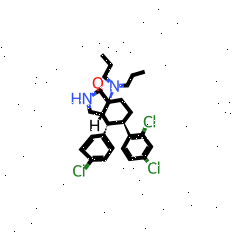 CCCN(CCC)[C@@]12CC[C@@H](c3ccc(Cl)cc3Cl)[C@H](c3ccc(Cl)cc3)[C@@H]1CNC2=O